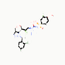 COc1ccc(S(=O)(=O)NC(=O)NCC(F)=C2COCc3cnn(Cc4ccc(Cl)cc4Cl)c32)cc1F